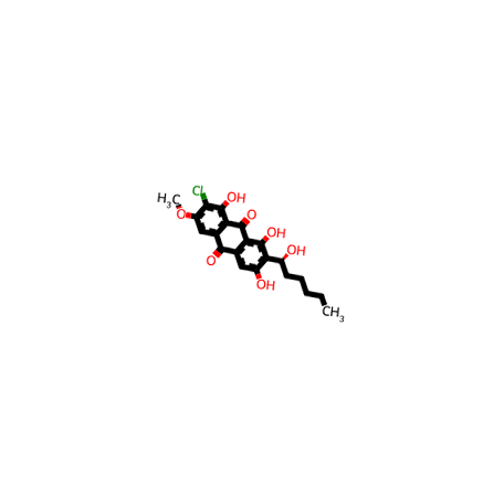 CCCCC[C@H](O)c1c(O)cc2c(c1O)C(=O)c1c(cc(OC)c(Cl)c1O)C2=O